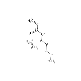 C=C.C=CC(=O)OCCCCC